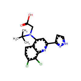 CC(C)(C)N(CC(=O)O)c1cc(-c2cc[nH]n2)nc2c(Cl)c(Cl)ccc12